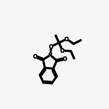 CCOC(C)(OCC)ON1C(=O)c2ccccc2C1=O